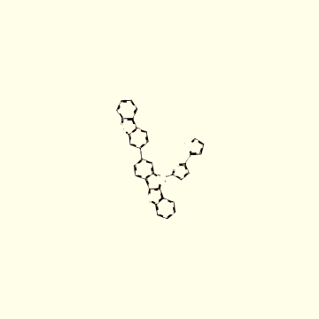 c1csc(-c2ccc(-n3c4cc(-c5ccc6c(c5)oc5ccccc56)ccc4c4sc5ccccc5c43)s2)c1